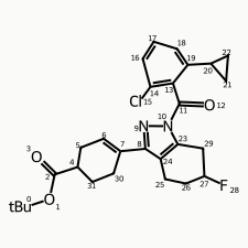 CC(C)(C)OC(=O)C1CC=C(c2nn(C(=O)c3c(Cl)cccc3C3CC3)c3c2CCC(F)C3)CC1